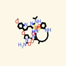 COc1ccc2c(O[C@@H]3C[C@@H](C(=O)N[C@]45CC4C(C)CCCCCNc4ccccc4S(=O)(=O)NC5=O)N(C(N)=O)C3)cc(-c3csc(NC(C)C)n3)nc2c1